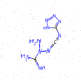 N=C(N)N(N)N=C=Nc1nnn[nH]1